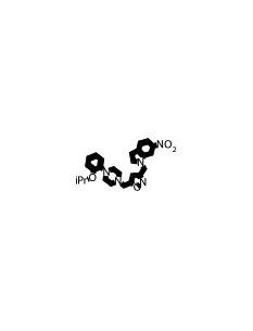 CC(C)Oc1ccccc1N1CCN(CC2CC(CN3CCC4=C3CC([N+](=O)[O-])C=C4)=NO2)CC1